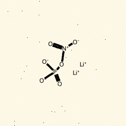 O=[N+]([O-])OP(=O)([O-])[O-].[Li+].[Li+]